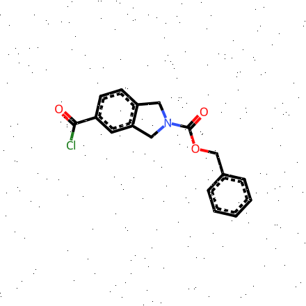 O=C(Cl)c1ccc2c(c1)CN(C(=O)OCc1ccccc1)C2